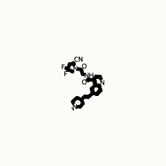 CN1CCC(C=Cc2ccc3nccc(C(=O)NCC(=O)N4CC(F)(F)CC4C#N)c3c2)CC1